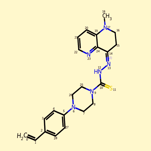 C=Cc1ccc(N2CCN(C(=S)N/N=C3/CCN(C)c4cccnc43)CC2)cc1